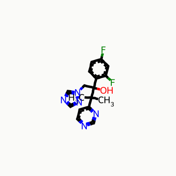 CC(C)(c1ccncn1)C(O)(Cn1cncn1)c1ccc(F)cc1F